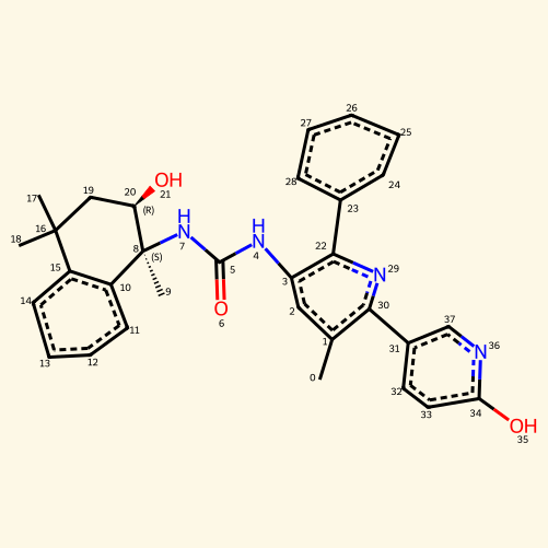 Cc1cc(NC(=O)N[C@@]2(C)c3ccccc3C(C)(C)C[C@H]2O)c(-c2ccccc2)nc1-c1ccc(O)nc1